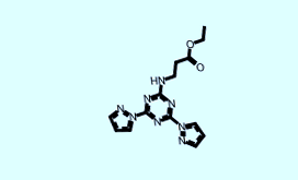 CCOC(=O)CCNc1nc(-n2cccn2)nc(-n2cccn2)n1